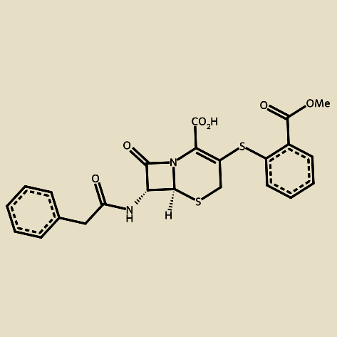 COC(=O)c1ccccc1SC1=C(C(=O)O)N2C(=O)[C@@H](NC(=O)Cc3ccccc3)[C@@H]2SC1